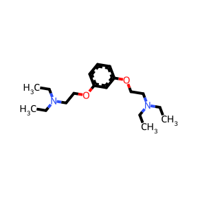 CCN(CC)CCOc1cccc(OCCN(CC)CC)c1